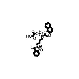 CN(CCCCN1C(=O)c2ccccc2S1(=O)=O)C1COc2ccc3ccccc3c2O1.O=C(O)C(=O)O